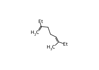 C=C(CC)CCC=C(C)CC